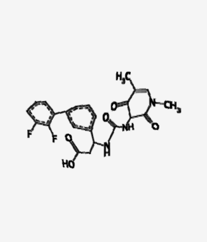 CC1=CN(C)C(=O)C(NC(=O)NC(CC(=O)O)c2cccc(-c3cccc(F)c3F)c2)C1=O